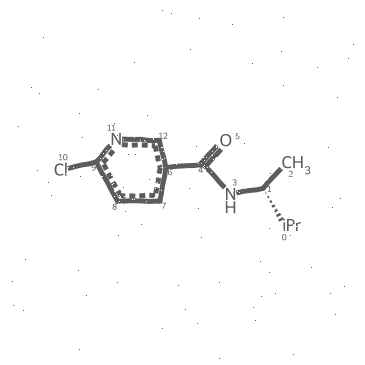 CC(C)[C@@H](C)NC(=O)c1ccc(Cl)nc1